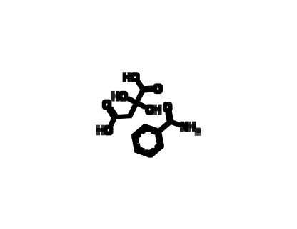 NC(=O)c1ccccc1.O=C(O)CC(O)(O)C(=O)O